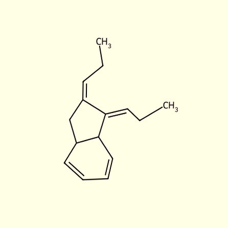 CCC=C1CC2C=CC=CC2C1=CCC